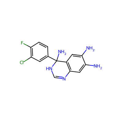 Nc1cc2c(cc1N)C(N)(c1ccc(F)c(Cl)c1)NC=N2